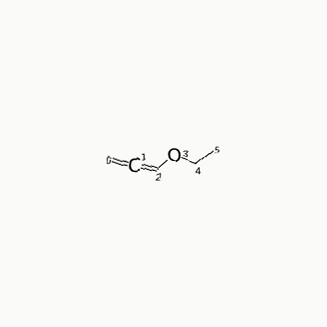 C=C=COCC